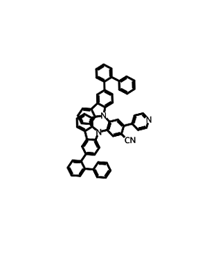 N#Cc1cc(-n2c3ccccc3c3cc(-c4ccccc4-c4ccccc4)ccc32)c(-n2c3ccccc3c3cc(-c4ccccc4-c4ccccc4)ccc32)cc1-c1ccncc1